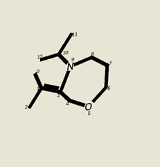 CC(C)=C1COCCCN1C(C)C